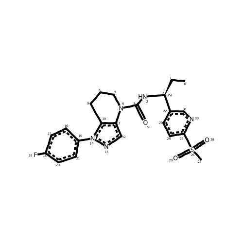 CC[C@H](NC(=O)N1CCCc2c1cnn2-c1ccc(F)cc1)c1ccc(S(C)(=O)=O)nc1